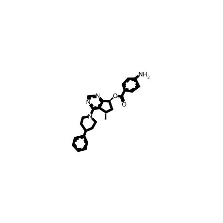 C[C@@H]1C[C@H](OC(=O)c2ccc(N)cc2)c2ncnc(N3CCC(c4ccccc4)CC3)c21